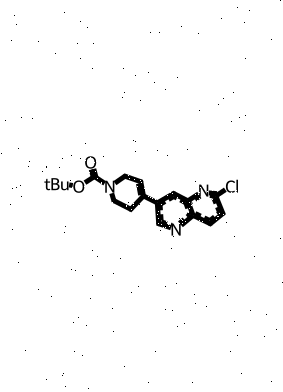 CC(C)(C)OC(=O)N1CC=C(c2cnc3ccc(Cl)nc3c2)CC1